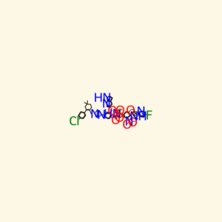 CC1(C)CCC(CN2CCN(c3ccc(C(=O)NS(=O)(=O)c4cc5c(c([N+](=O)[O-])c4)N[C@@H](c4ccc(F)cn4)CO5)c(Oc4cnc5[nH]ccc5c4)c3)CC2)=C(c2ccc(Cl)cc2)C1